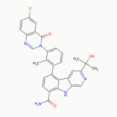 Cc1c(-c2ccc(C(N)=O)c3[nH]c4cnc(C(C)(C)O)cc4c23)cccc1-n1cnc2ccc(F)cc2c1=O